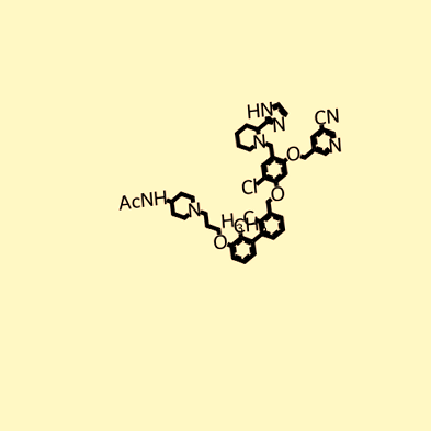 CC(=O)NC1CCN(CCCOc2cccc(-c3cccc(COc4cc(OCc5cncc(C#N)c5)c(CN5CCCCC5c5ncc[nH]5)cc4Cl)c3C)c2C)CC1